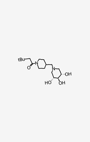 CC(C)(C)CC(=O)N1CCC(CN2C[C@@H](O)[C@H](O)[C@@H](O)C2)CC1